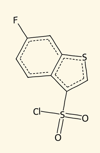 O=S(=O)(Cl)c1csc2cc(F)ccc12